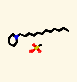 CCCCCCCCCCCCN1CCCCC1.CS(=O)(=O)O